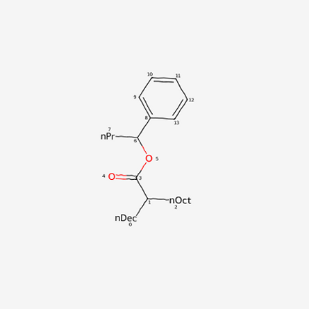 CCCCCCCCCCC(CCCCCCCC)C(=O)OC(CCC)c1ccccc1